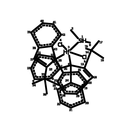 C[SiH](C)[Hf]([Cl])([Cl])([C]1(c2ccccc2)C(C(C)(C)C)=Cc2ccccc21)[C]1(c2ccccc2)C(C(C)(C)C)=Cc2ccccc21